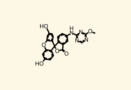 COc1n[c]nc(Nc2ccc3c(c2)C(=O)OC32c3ccc(O)cc3Oc3cc(O)ccc32)n1